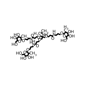 CC(C)NC(COCCC(=O)NCCCOC1OC(CO)C(O)C(O)C1C)(COCCC(=O)NCCCOC1OC(CO)C(O)C(O)C1C)COCCC(=O)NCCCOC1OC(CO)C(O)C(O)C1C